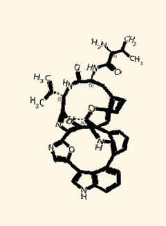 CC(C)[C@H](N)C(=O)N[C@H]1Cc2ccc3c(c2)C24c5cccc(c5N[C@H]2O3)-c2cccc3[nH]cc(c23)-c2cnc(o2)-c2nc(oc24)[C@H](C(C)C)NC1=O